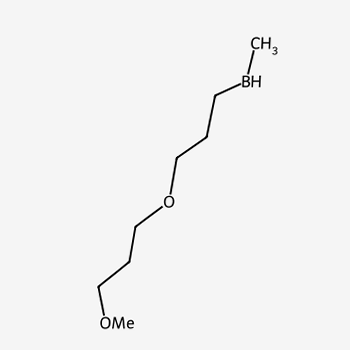 CBCCCOCCCOC